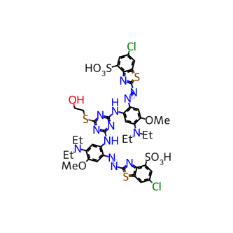 CCN(CC)c1cc(Nc2nc(Nc3cc(N(CC)CC)c(OC)cc3/N=N/c3nc4c(S(=O)(=O)O)cc(Cl)cc4s3)nc(SCCO)n2)c(/N=N/c2nc3c(S(=O)(=O)O)cc(Cl)cc3s2)cc1OC